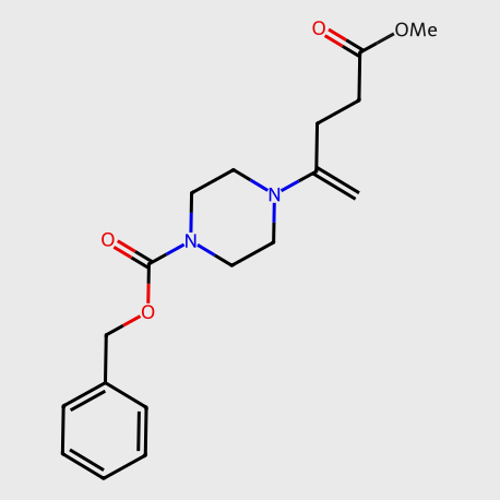 C=C(CCC(=O)OC)N1CCN(C(=O)OCc2ccccc2)CC1